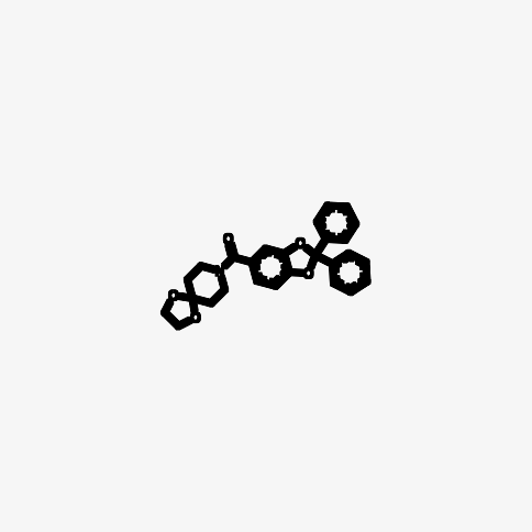 O=C(c1ccc2c(c1)OC(c1ccccc1)(c1ccccc1)O2)N1CCC2(CC1)OCCO2